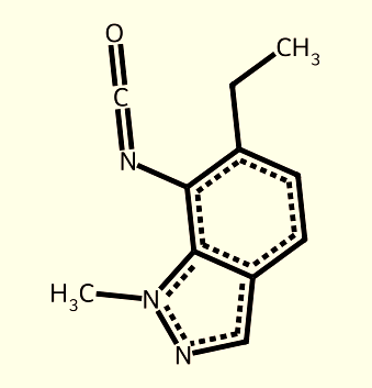 CCc1ccc2cnn(C)c2c1N=C=O